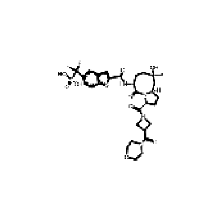 C[C@]1(O)CC[C@H](NC(=O)c2cc3cc(C(F)(F)P(=O)(O)O)ccc3s2)C(=O)N2[C@H](CC[C@H]2C(=O)N2CC(C(=O)N3CCOCC3)C2)C1